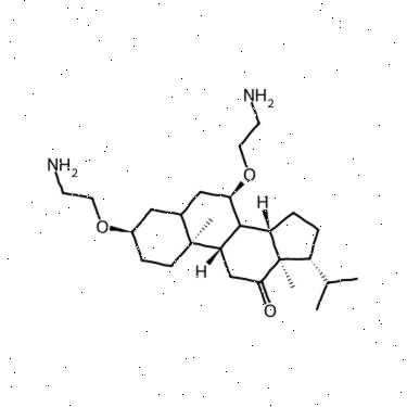 CC(C)[C@H]1CC[C@H]2C3[C@H](OCCN)CC4C[C@H](OCCN)CC[C@]4(C)[C@H]3CC(=O)[C@]12C